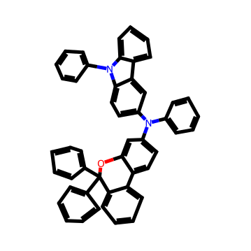 c1ccc(N(c2ccc3c(c2)OC(c2ccccc2)(c2ccccc2)c2ccccc2-3)c2ccc3c(c2)c2ccccc2n3-c2ccccc2)cc1